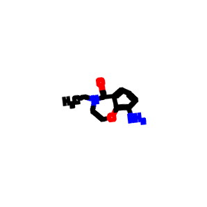 CCN1CCOc2c(N)cccc2C1=O